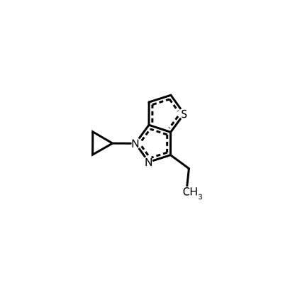 CCc1nn(C2CC2)c2ccsc12